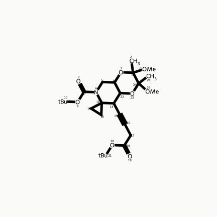 COC1(C)OC2CN(C(=O)OC(C)(C)C)C3(CC3)C(C#CCC(=O)OC(C)(C)C)C2OC1(C)OC